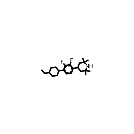 CCC1CCC(c2ccc(C3CC(C)(C)NC(C)(C)C3)c(F)c2F)CC1